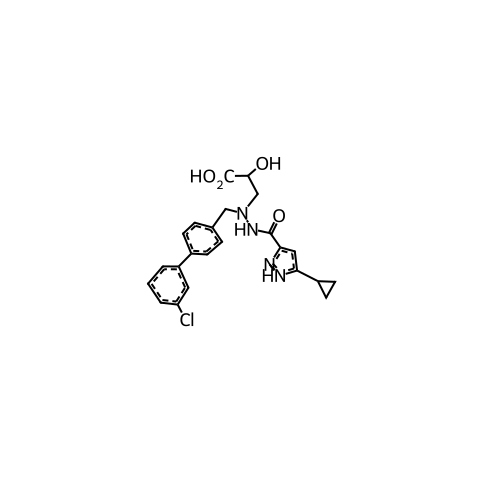 O=C(NN(Cc1ccc(-c2cccc(Cl)c2)cc1)CC(O)C(=O)O)c1cc(C2CC2)[nH]n1